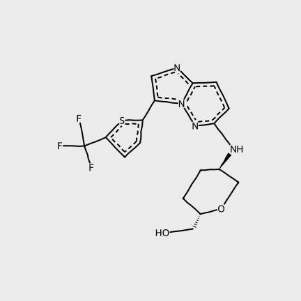 OC[C@@H]1CC[C@@H](Nc2ccc3ncc(-c4ccc(C(F)(F)F)s4)n3n2)CO1